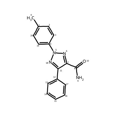 Cc1ccc(-n2nc(C(N)=O)c(-c3ccccc3)n2)cc1